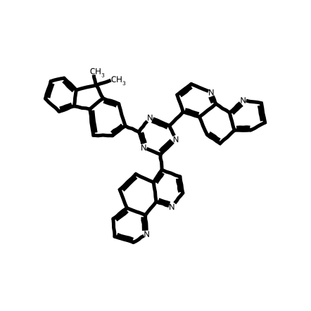 CC1(C)c2ccccc2-c2ccc(-c3nc(-c4ccnc5c4ccc4cccnc45)nc(-c4ccnc5c4ccc4cccnc45)n3)cc21